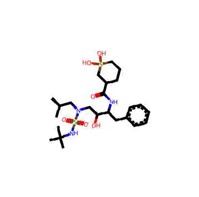 CC(C)CN(CC(O)C(Cc1ccccc1)NC(=O)C1CCCS(O)(O)C1)S(=O)(=O)NC(C)(C)C